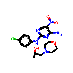 CC(O)CN1CCOCC1.Nc1nc(Nc2ccc(Cl)cc2)ncc1[N+](=O)[O-]